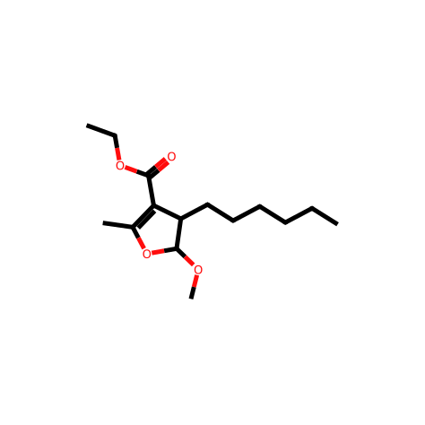 CCCCCCC1C(C(=O)OCC)=C(C)OC1OC